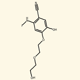 N#Cc1cc(O)c(OCCOCCO)cc1NI